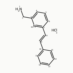 Cl.NCc1cccc(/C=C/c2ccccc2)n1